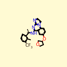 Cc1c([C@@H](C)Nc2nc3nccn3c3ccc(OC4CCOC4)cc23)cccc1C(F)(F)F